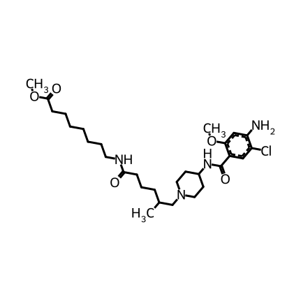 COC(=O)CCCCCCCNC(=O)CCCC(C)CN1CCC(NC(=O)c2cc(Cl)c(N)cc2OC)CC1